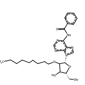 CCCCCCCCCOC1C(O)[C@@H](CO)O[C@H]1n1cnc2c(NC(=O)c3ccccc3)ncnc21